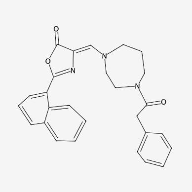 O=C1OC(c2cccc3ccccc23)=NC1=CN1CCCN(C(=O)Cc2ccccc2)CC1